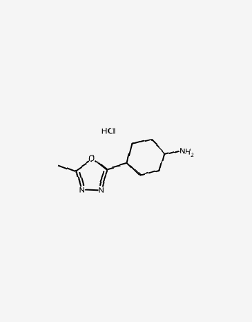 Cc1nnc(C2CCC(N)CC2)o1.Cl